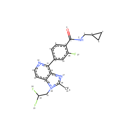 O=C(NCC1CC1)c1ccc(-c2nccc3c2nc(C(F)(F)F)n3CC(F)F)cc1F